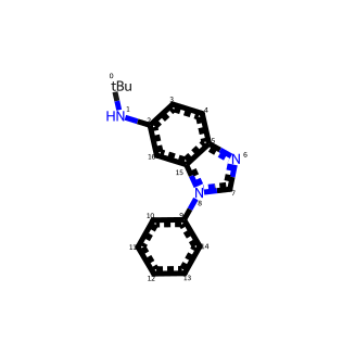 CC(C)(C)Nc1ccc2ncn(-c3ccccc3)c2c1